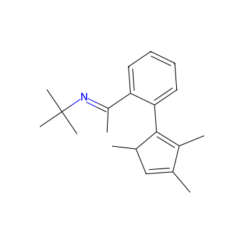 CC1=CC(C)C(c2ccccc2/C(C)=N/C(C)(C)C)=C1C